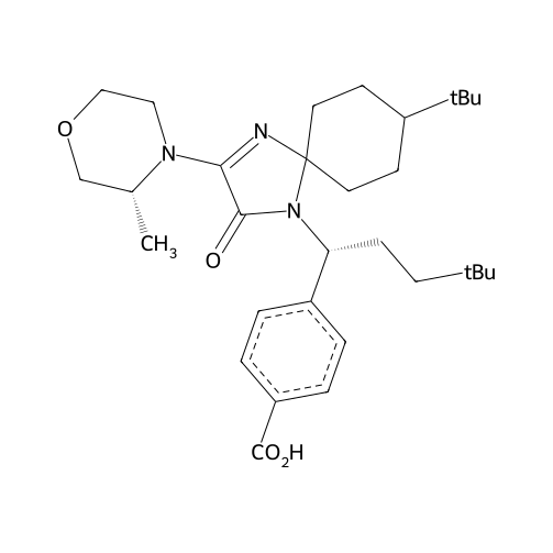 C[C@@H]1COCCN1C1=NC2(CCC(C(C)(C)C)CC2)N([C@H](CCC(C)(C)C)c2ccc(C(=O)O)cc2)C1=O